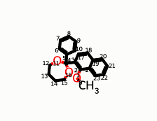 COc1c(C2(c3ccccc3)OCCCCO2)ccc2ccccc12